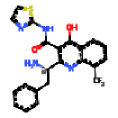 N[C@@H](Cc1ccccc1)c1nc2c(C(F)(F)F)cccc2c(O)c1C(=O)Nc1nccs1